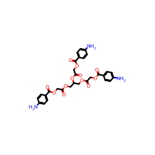 Nc1ccc(C(=O)OCC(=O)OCC(COC(=O)COC(=O)c2ccc(N)cc2)OC(=O)COC(=O)c2ccc(N)cc2)cc1